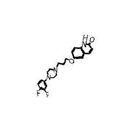 O=c1ccc2cc(OCCCN3CCN(c4ccc(F)c(F)c4)CC3)ccc2[nH]1